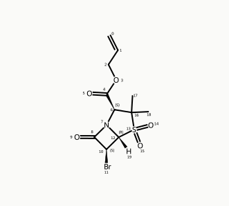 C=CCOC(=O)[C@@H]1N2C(=O)[C@H](Br)[C@H]2S(=O)(=O)C1(C)C